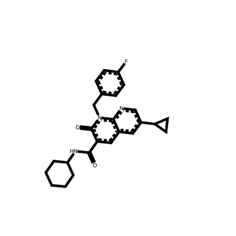 O=C(NC1CCCCC1)c1cc2cc(C3CC3)cnc2n(Cc2ccc(F)cc2)c1=O